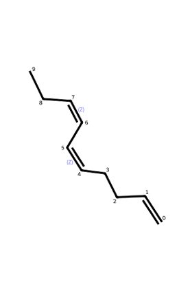 C=CCC/C=C\C=C/CC